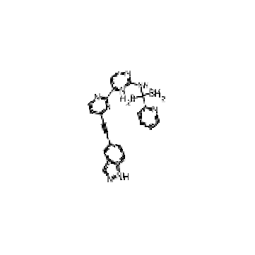 BC(B)(Nc1nccc(-c2nccc(C#Cc3ccc4[nH]ncc4c3)n2)n1)c1ccccn1